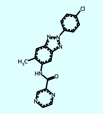 Cc1cc2nn(-c3ccc(Cl)cc3)nc2cc1NC(=O)c1cnccn1